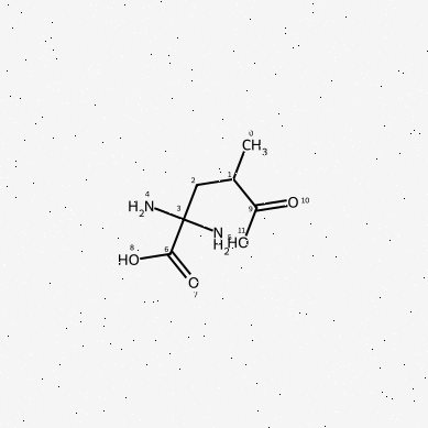 CC(CC(N)(N)C(=O)O)C(=O)O